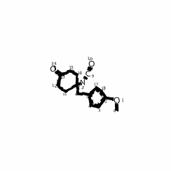 COc1ccc(CC2(N=C=O)CCC(=O)CC2)cc1